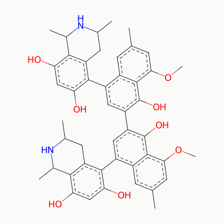 COc1cc(C)cc2c(-c3c(O)cc(O)c4c3CC(C)NC4C)cc(-c3cc(-c4c(O)cc(O)c5c4CC(C)NC5C)c4cc(C)cc(OC)c4c3O)c(O)c12